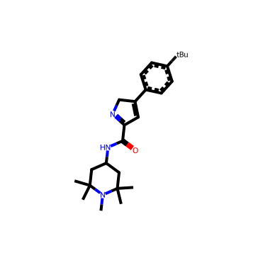 CN1C(C)(C)CC(NC(=O)C2=NCC(c3ccc(C(C)(C)C)cc3)=C2)CC1(C)C